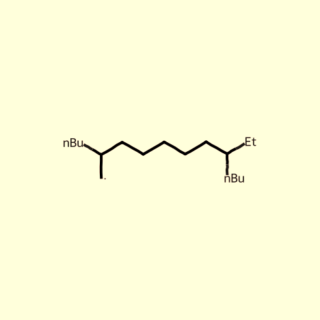 [CH2]C(CCCC)CCCCCC(CC)CCCC